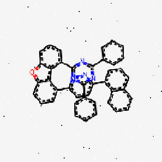 c1ccc(-c2nc(-c3ccccc3)nc(-c3cccc4oc5cccc(-c6ccc(-c7cccc8ccccc78)nn6)c5c34)n2)cc1